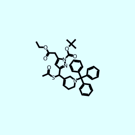 CCOC(=O)Cc1cc(C(SC(C)=O)C2=CCCN(C(c3ccccc3)(c3ccccc3)c3ccccc3)C2)nn1C(=O)OC(C)(C)C